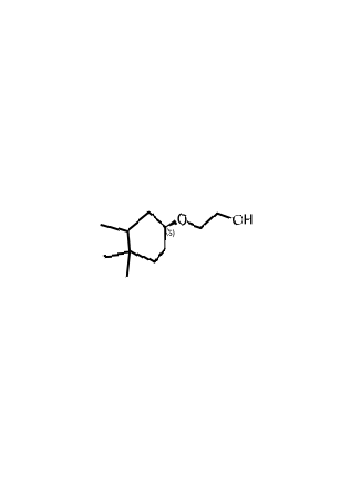 CC1C[C@@H](OCCO)CCC1(C)C